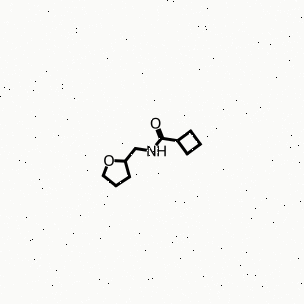 O=C(NCC1CCCO1)C1CCC1